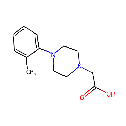 Cc1ccccc1N1CCN(CC(=O)O)CC1